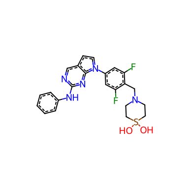 OS1(O)CCN(Cc2c(F)cc(-n3ccc4cnc(Nc5ccccc5)nc43)cc2F)CC1